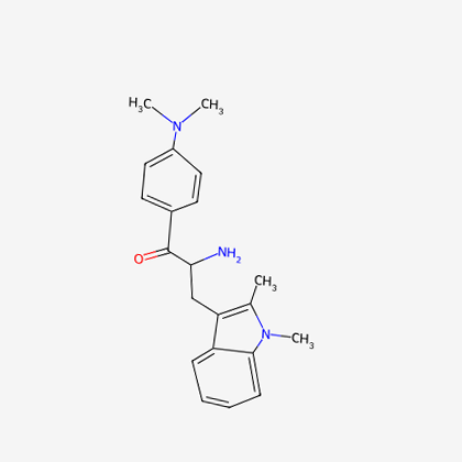 Cc1c(CC(N)C(=O)c2ccc(N(C)C)cc2)c2ccccc2n1C